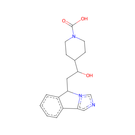 O=C(O)N1CCC(C(O)CC2c3ccccc3-c3cncn32)CC1